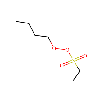 CCCCOOS(=O)(=O)CC